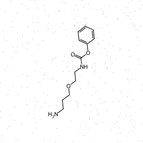 NCCCOCCNC(=O)Oc1cc[c]cc1